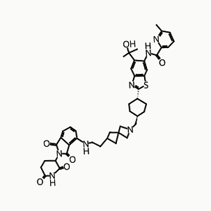 Cc1cccc(C(=O)Nc2cc3sc([C@H]4CC[C@H](CN5CC6(CC(CCNc7cccc8c7C(=O)N(C7CCC(=O)NC7=O)C8=O)C6)C5)CC4)nc3cc2C(C)(C)O)n1